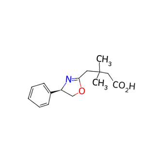 CC(C)(CC(=O)O)CC1=N[C@H](c2ccccc2)CO1